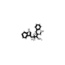 CC(C=O)(Cc1c[nH]c2ccccc12)[C](N)[C@H](CO)Cc1ccccc1